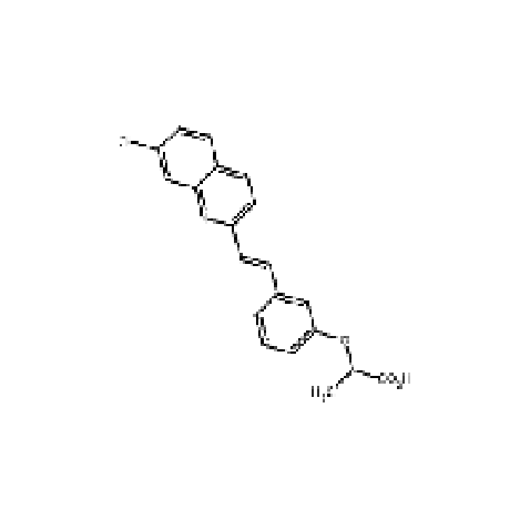 CC(Oc1cccc(/C=C/c2ccc3ccc(Cl)cc3n2)c1)C(=O)O